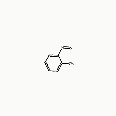 Oc1ccccc1N=S